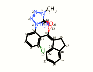 Cn1nnn(-c2cccc(Cl)c2/C(ON)=C2/CCc3ccccc32)c1=O